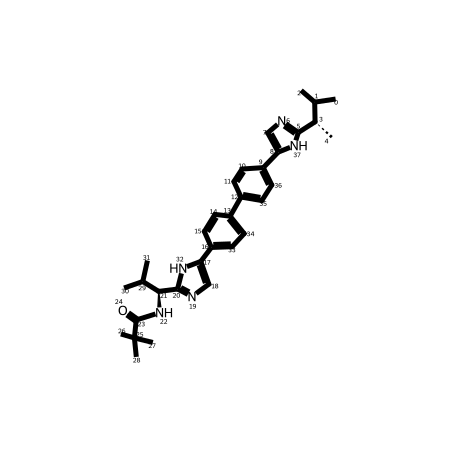 CC(C)[C@H](C)c1ncc(-c2ccc(-c3ccc(-c4cnc([C@@H](NC(=O)C(C)(C)C)C(C)C)[nH]4)cc3)cc2)[nH]1